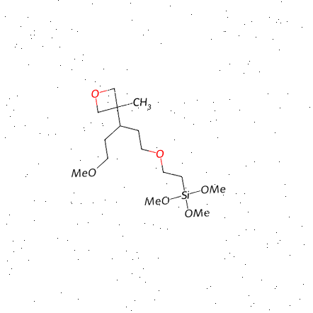 COCCC(CCOCC[Si](OC)(OC)OC)C1(C)COC1